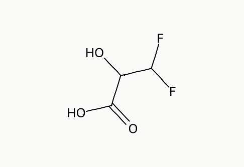 O=C(O)[C](O)C(F)F